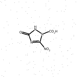 O=C(O)n1[nH]c(=O)nc1[N+](=O)[O-]